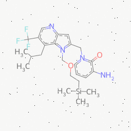 CC(C)Cc1c(C(F)(F)F)cnc2cc(Cn3cccc(N)c3=O)n(COCC[Si](C)(C)C)c12